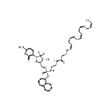 CC/C=C\C/C=C\C/C=C\C/C=C\C/C=C\CCCC(=O)NCCNP(=O)(OC[C@H]1O[C@@H](n2ccc(N)nc2=O)C(F)(F)[C@@H]1O)Oc1cccc2ccccc12